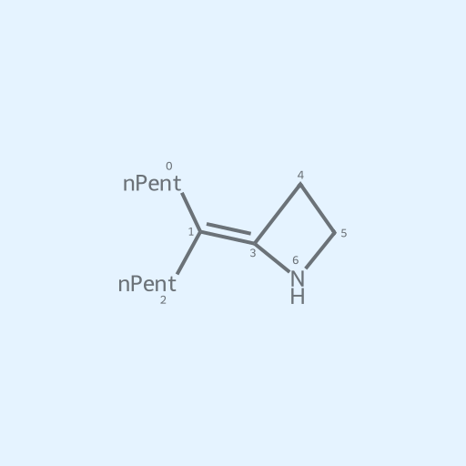 CCCCCC(CCCCC)=C1CCN1